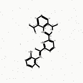 CC(=Nc1c(C)cccc1Br)c1cccc(C(C)=Nc2c(C(C)C)cccc2C(C)C)n1